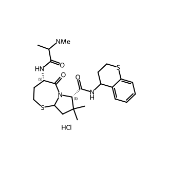 CNC(C)C(=O)N[C@H]1CCSC2CC(C)(C)[C@@H](C(=O)NC3CCSc4ccccc43)N2C1=O.Cl